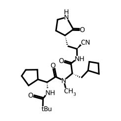 CN(C(=O)[C@H](NC(=O)C(C)(C)C)C1CCCC1)[C@@H](CC1CCC1)C(=O)N[C@H](C#N)C[C@@H]1CCNC1=O